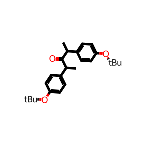 CC(C(=O)C(C)c1ccc(OC(C)(C)C)cc1)c1ccc(OC(C)(C)C)cc1